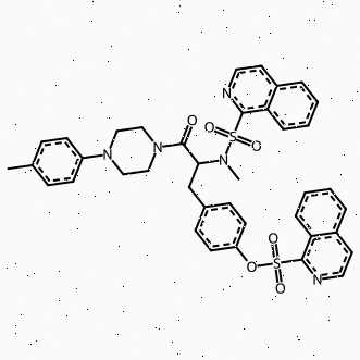 Cc1ccc(N2CCN(C(=O)C(Cc3ccc(OS(=O)(=O)c4nccc5ccccc45)cc3)N(C)S(=O)(=O)c3nccc4ccccc34)CC2)cc1